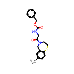 Cc1ccc2c(c1)CN(C(=O)CNC(=O)OCc1ccccc1)CCS2